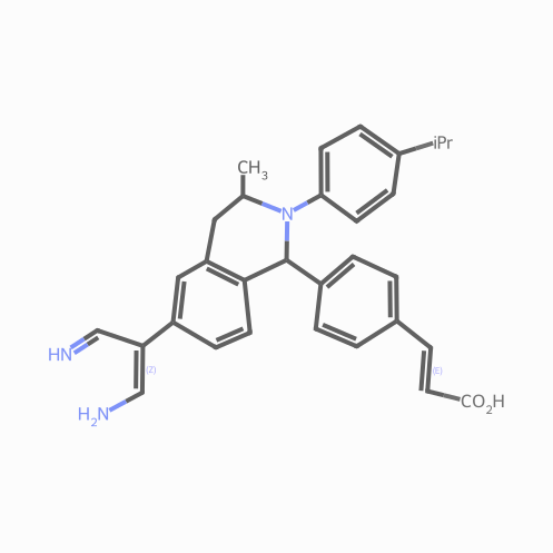 CC(C)c1ccc(N2C(C)Cc3cc(/C(C=N)=C/N)ccc3C2c2ccc(/C=C/C(=O)O)cc2)cc1